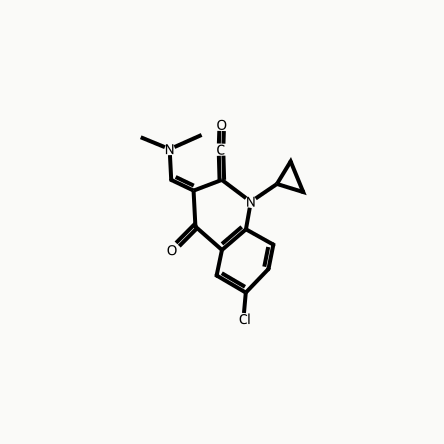 CN(C)C=c1c(=O)c2cc(Cl)ccc2n(C2CC2)c1=C=O